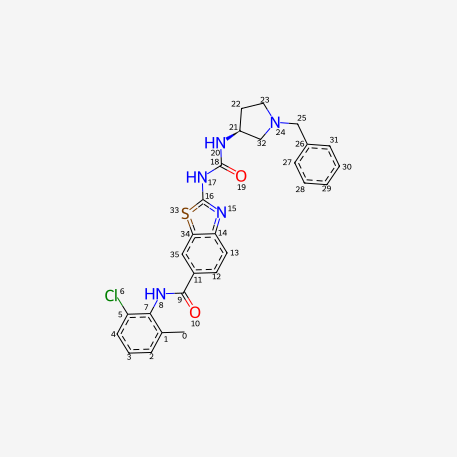 Cc1cccc(Cl)c1NC(=O)c1ccc2nc(NC(=O)N[C@H]3CCN(Cc4ccccc4)C3)sc2c1